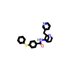 O=C(NC1C2CCN(CC2)C1Cc1cccnc1)c1ccc(Sc2ccccc2)cc1